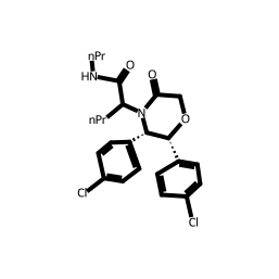 CCCNC(=O)C(CCC)N1C(=O)CO[C@H](c2ccc(Cl)cc2)[C@@H]1c1ccc(Cl)cc1